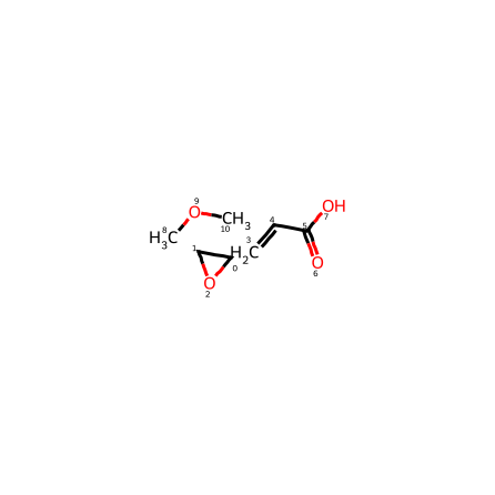 C1CO1.C=CC(=O)O.COC